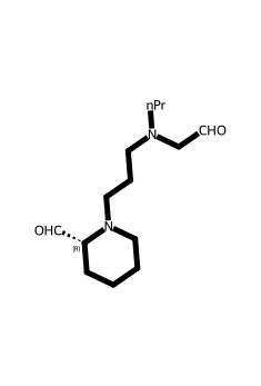 CCCN(CC=O)CCCN1CCCC[C@@H]1C=O